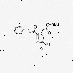 CCCCOC(=O)C[C@@H](CC(=O)NC(C)(C)C)NC(=O)CCc1ccccc1